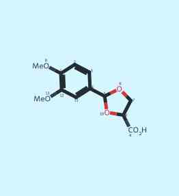 COc1ccc([C]2OCC(C(=O)O)O2)cc1OC